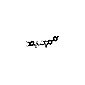 Cc1ccc(-c2ccc(N(C=O)[C@@H](CCOC(=O)Nc3ccc(Cl)c(Cl)c3)C(=O)O)cc2)cc1